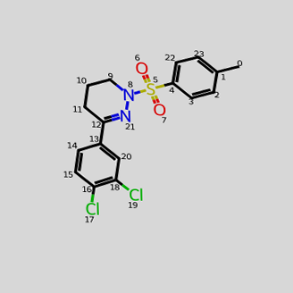 Cc1ccc(S(=O)(=O)N2CCCC(c3ccc(Cl)c(Cl)c3)=N2)cc1